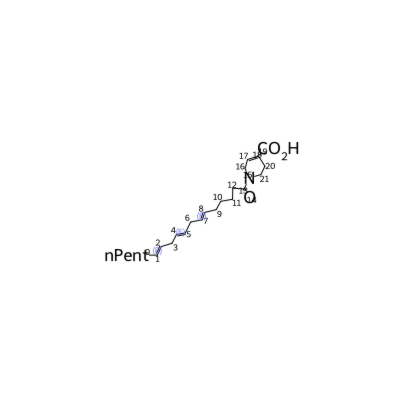 CCCCC/C=C/C/C=C/C/C=C/CCCCC(=O)N1CC=C(C(=O)O)CC1